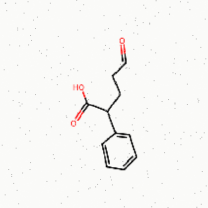 O=CCCC(C(=O)O)c1ccccc1